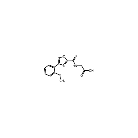 COc1ccccc1-c1noc(C(=O)NCC(=O)O)n1